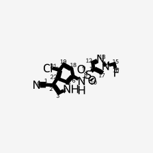 N#Cc1c[nH]c2c(NS(=O)(=O)c3cnn(CF)c3)ccc(Cl)c12